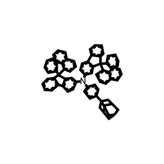 c1ccc(C2(c3cccc4ccccc34)c3ccccc3-c3ccc(N(c4ccc(C56CC7CC(CC(C7)C5)C6)cc4)c4ccc5c(c4)C(c4ccccc4)(c4cccc6ccccc46)c4ccccc4-5)cc32)cc1